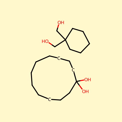 OC1(O)CCCCCCCCCCC1.OCC1(CO)CCCCC1